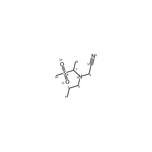 CC[CH]N(CC#N)C(C)S(C)(=O)=O